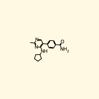 Cc1ncc(-c2ccc(C(N)=O)cc2)c(NC2CCCC2)n1